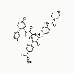 CC(C)(C)OC(=O)c1ccc(NC(=O)C(Cc2ccc(NC(=O)N3CCNCC3)cc2)NC(=O)C(=O)Nc2cc(Cl)ccc2-n2cnnn2)cc1